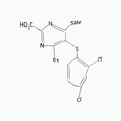 CCc1nc(C(=O)O)nc(SC)c1Sc1ccc(Cl)cc1Cl